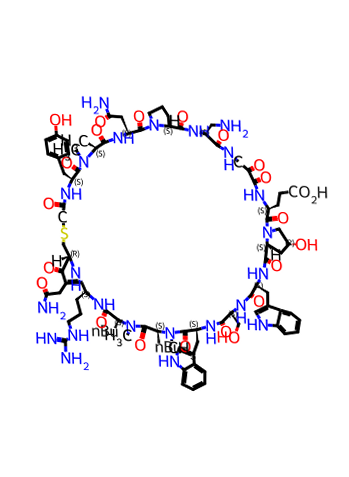 CCCC[C@H]1C(=O)N(C)[C@@H](CCCC)C(=O)N[C@@H](CCCNC(=N)N)C2=C(CC(N)=O)C(=O)[C@H](CSCC(=O)N[C@@H](Cc3ccc(O)cc3)C(=O)N(C)[C@@H](C)C(=O)N[C@@H](CC(N)=O)C(=O)N3CCC[C@H]3C(=O)N[C@@H](CN)C(=O)NCC(=O)C(=O)N[C@@H](CCC(=O)O)C(=O)N3C[C@H](O)C[C@H]3C(=O)N[C@@H](Cc3c[nH]c4ccccc34)C(=O)N[C@@H](CO)C(=O)N[C@@H](Cc3c[nH]c4ccccc34)C(=O)N1C)N2